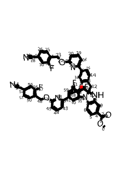 COC(=O)c1ccc2c(c1)NC(Cc1ccc(-c3cccc(OCc4ccc(C#N)cc4F)n3)cc1F)(Cc1ccc(-c3cccc(OCc4ccc(C#N)cc4F)n3)cc1F)N2CC1(CF)CC1